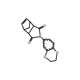 O=C1C2C3C=CC(C3)C2C(=O)N1c1ccc2c(c1)OCCO2